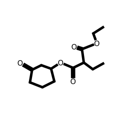 CCOC(=O)C(CC)C(=O)OC1CCCC(=O)C1